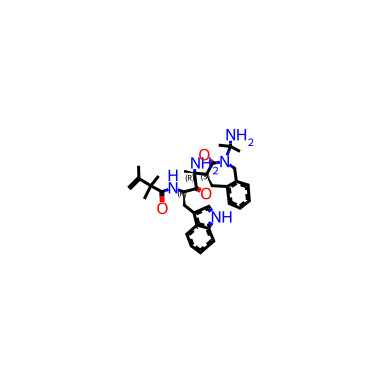 C=C(C)C(C)(C)C(=O)N[C@H](Cc1c[nH]c2ccccc12)C(=O)[C@](C)(N)[C@@H]1Cc2ccccc2CN(C(C)(C)N)C1=O